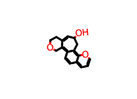 OC1C=C2CCOCC2=c2ccc3c(c2C1)OC=CC=3